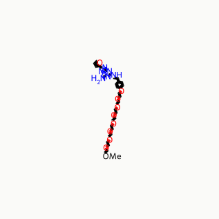 COCCOCCOCCOCCOCCOCCOCCOCCOc1ccc(CCNc2nc(N)n3nc(-c4ccco4)nc3n2)cc1